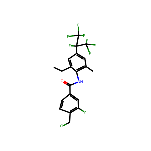 CCc1cc(C(F)(C(F)(F)F)C(F)(F)F)cc(C)c1NC(=O)c1ccc(CCl)c(Cl)c1